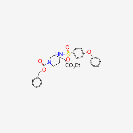 CCOC(=O)CC1(NS(=O)(=O)c2ccc(Oc3ccccc3)cc2)CCN(C(=O)OCc2ccccc2)CC1